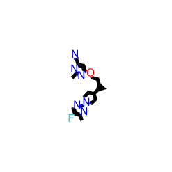 Cc1nc(C#N)cc(OCCC2CC2C2CCN(c3ncc(F)c(C)n3)CC2)n1